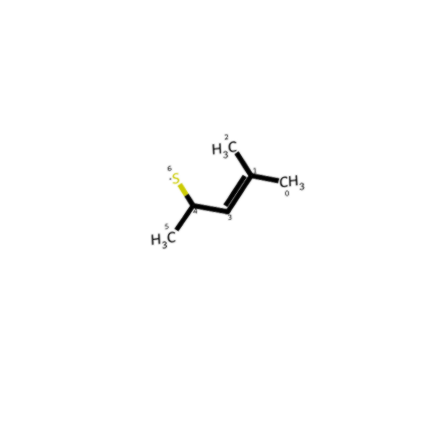 CC(C)=CC(C)[S]